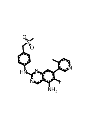 Cc1ccncc1-c1cc2nc(Nc3ccc(CS(C)(=O)=O)cc3)ncc2c(N)c1F